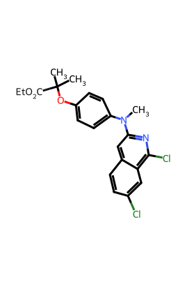 CCOC(=O)C(C)(C)Oc1ccc(N(C)c2cc3ccc(Cl)cc3c(Cl)n2)cc1